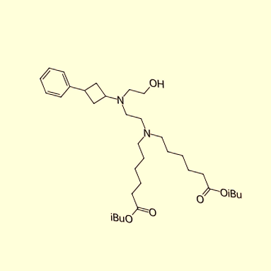 CC(C)COC(=O)CCCCCN(CCCCCC(=O)OCC(C)C)CCN(CCO)C1CC(c2ccccc2)C1